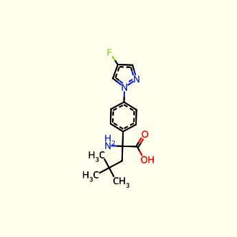 CC(C)(C)CC(N)(C(=O)O)c1ccc(-n2cc(F)cn2)cc1